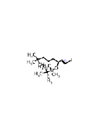 CC(C)(C)CCCC(/C=C/I)O[Si](C)(C)C(C)(C)C